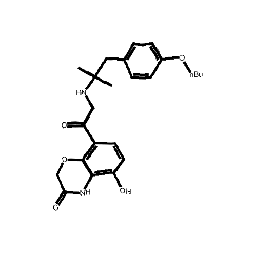 CCCCOc1ccc(CC(C)(C)NCC(=O)c2ccc(O)c3c2OCC(=O)N3)cc1